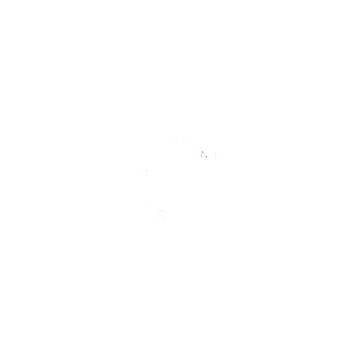 N=C1CCCSCCOCC1=O